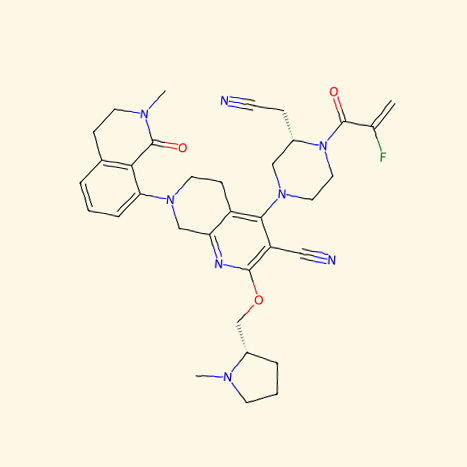 C=C(F)C(=O)N1CCN(c2c(C#N)c(OC[C@@H]3CCCN3C)nc3c2CCN(c2cccc4c2C(=O)N(C)CC4)C3)C[C@@H]1CC#N